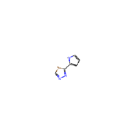 C1=C[N]C(c2nncs2)=C1